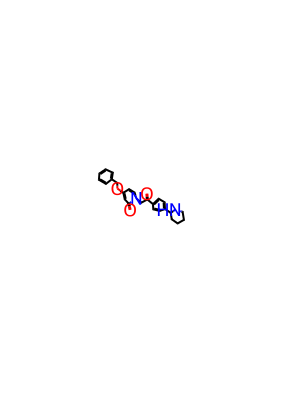 O=C(Cn1ccc(OCc2ccccc2)cc1=O)c1ccc(C2CCCCN2)cc1